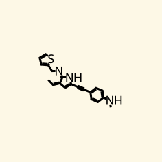 C/C=C1/C=C(C#Cc2ccc(NC)cc2)N/C1=N/Cc1cccs1